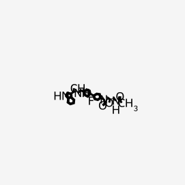 CC(=O)NC[C@H]1CN(c2ccc(-c3ccc(CNC(C)c4c[nH]c5ccccc45)cc3)c(F)c2)C(=O)O1